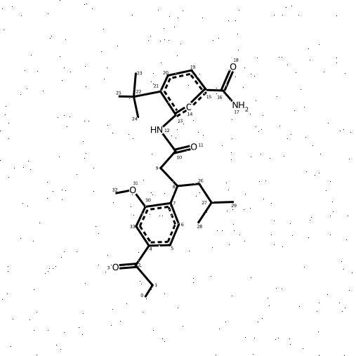 CCC(=O)c1ccc(C(CC(=O)Nc2cc(C(N)=O)ccc2C(C)(C)C)CC(C)C)c(OC)c1